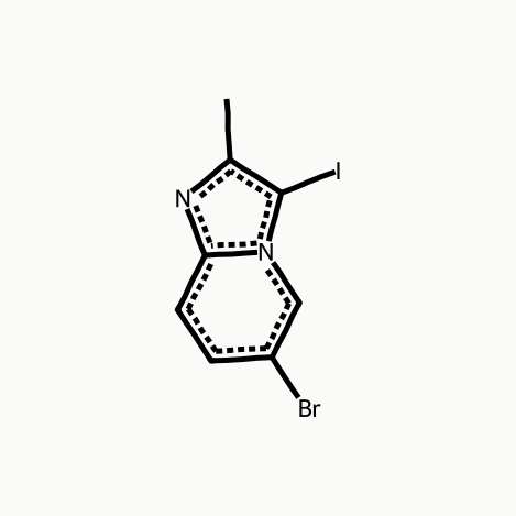 Cc1nc2ccc(Br)cn2c1I